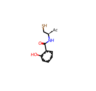 CC(=O)[C@H](CS)NC(=O)c1ccccc1O